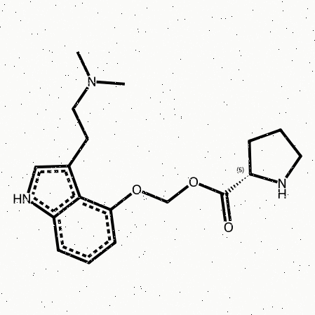 CN(C)CCc1c[nH]c2cccc(OCOC(=O)[C@@H]3CCCN3)c12